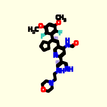 COc1cc(OC)c(F)c(/C(=C/c2cnc(/C(C=N)=C/NCCN3CCOCC3)cc2NC=O)C2CCCC2)c1F